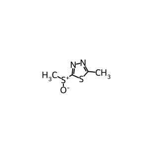 Cc1nnc([S+](C)[O-])s1